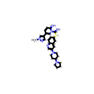 Cn1cc(-c2ccc(=N)n(C(=N)Sc3ccc4ncc(N5CCC(N6CCCC6)CC5)cc4c3)c2)cn1